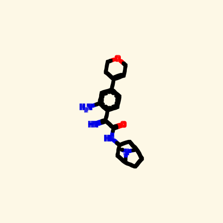 CN1C2CCC1CC(NC(=O)C(=N)c1ccc(C3=CCOCC3)cc1N)C2